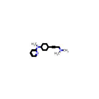 CN(C)CC#CC1CCC(N(C)c2ccccn2)CC1